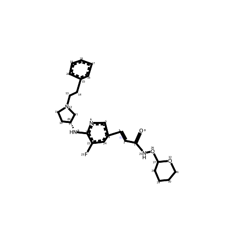 O=C(/C=C/c1cnc(N[C@@H]2CCN(CCc3ccccc3)C2)c(F)c1)NOC1CCCCO1